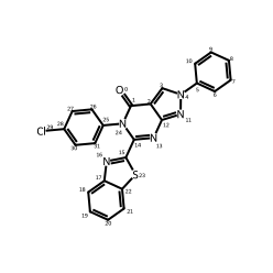 O=c1c2cn(-c3ccccc3)nc2nc(-c2nc3ccccc3s2)n1-c1ccc(Cl)cc1